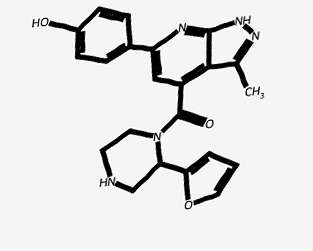 Cc1n[nH]c2nc(-c3ccc(O)cc3)cc(C(=O)N3CCNCC3c3ccco3)c12